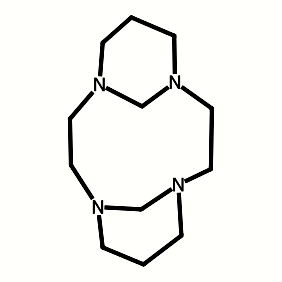 C1CN2CCN3CCCN(CCN(C1)C2)C3